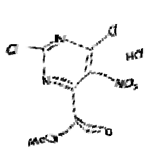 COC(=O)c1nc(Cl)nc(Cl)c1[N+](=O)[O-].Cl